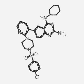 Nc1nc(NC2CCCCC2)c2cc(-c3cccnc3N3CCN(S(=O)(=O)c4ccc(Cl)cc4)CC3)ccc2n1